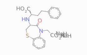 O=C(O)CN1C(=O)C(N[C@H](CCc2ccccc2)C(=O)O)CSc2ccccc21.[NaH].[NaH]